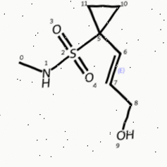 CNS(=O)(=O)C1(/C=C/CO)CC1